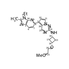 CCn1c(C)nc2ccc(-c3ccn4nc(N[C@H]5C[C@@H](OCCOC)C5)ncc34)nc21